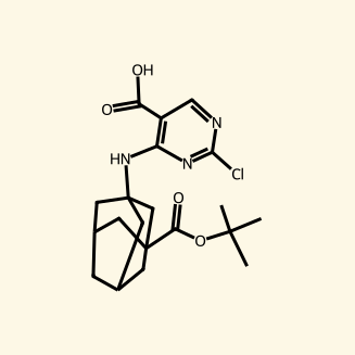 CC(C)(C)OC(=O)C12CC3CC(CC(Nc4nc(Cl)ncc4C(=O)O)(C3)C1)C2